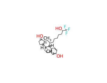 C=C[C@@]12CCc3cc(O)ccc3[C@H]1C(CCCCCC(O)C(F)(F)F)C[C@@]1(C)[C@H]2CC[C@@H]1O